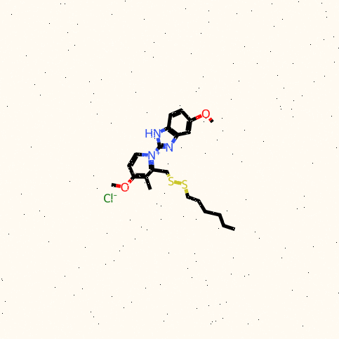 CCCCCCSSCc1c(C)c(OC)cc[n+]1-c1nc2cc(OC)ccc2[nH]1.[Cl-]